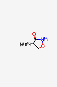 CNC1CONC1=O